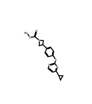 CC(C)(C)OC(=O)N1CC(c2ccc(Oc3nccc(C4CC4)n3)cc2)C1